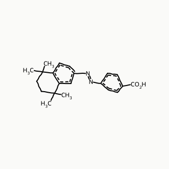 CC1(C)CCC(C)(C)c2cc(N=Nc3ccc(C(=O)O)cc3)ccc21